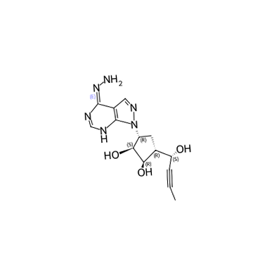 CC#C[C@@H](O)[C@H]1C[C@@H](n2ncc3/c(=N\N)nc[nH]c32)[C@H](O)[C@@H]1O